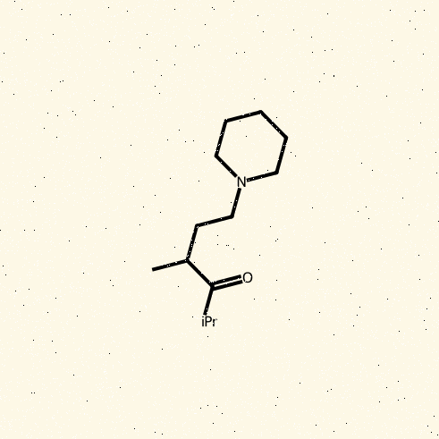 CC(C)C(=O)C(C)CCN1CCCCC1